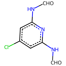 O=CNc1cc(Cl)cc(NC=O)n1